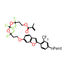 C=C(C)C(=O)OCCC(F)(F)OC(F)(F)OC(F)(F)CCOc1ccc2cc(-c3ccc(CCCCC)cc3C(F)(F)F)oc2c1